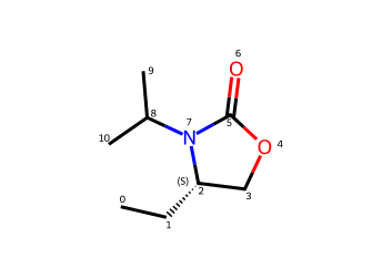 CC[C@H]1COC(=O)N1C(C)C